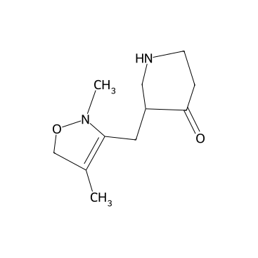 CC1=C(CC2CNCCC2=O)N(C)OC1